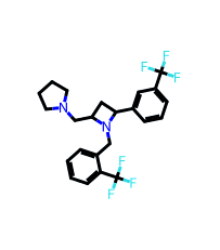 FC(F)(F)c1cccc(C2CC(CN3CCCC3)N2Cc2ccccc2C(F)(F)F)c1